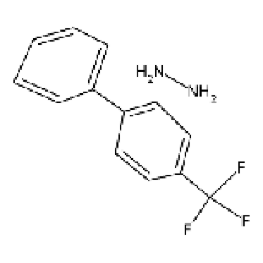 FC(F)(F)c1ccc(-c2ccccc2)cc1.NN